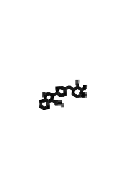 Cc1c(-c2ccc(CC3CCNC(F)C3F)cc2)cnc2ccccc12